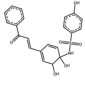 O=C(C=CC1=CC(O)C(O)(NS(=O)(=O)c2ccc(O)cc2)C=C1)c1ccccc1